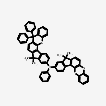 CC1(C)c2cc(N(c3ccccc3)c3ccc4c(c3)C(C)(C)c3ccc5c(c3-4)Sc3ccccc3S5)ccc2-c2c1ccc1c2Oc2ccccc2C1(c1ccccc1)c1ccccc1